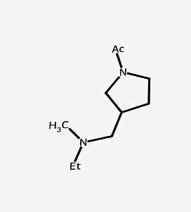 CCN(C)CC1CCN(C(C)=O)C1